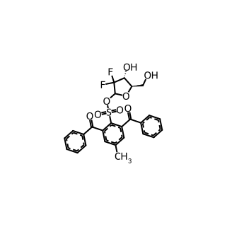 Cc1cc(C(=O)c2ccccc2)c(S(=O)(=O)OC2O[C@H](CO)[C@@H](O)C2(F)F)c(C(=O)c2ccccc2)c1